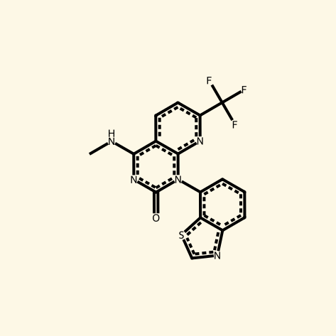 CNc1nc(=O)n(-c2cccc3ncsc23)c2nc(C(F)(F)F)ccc12